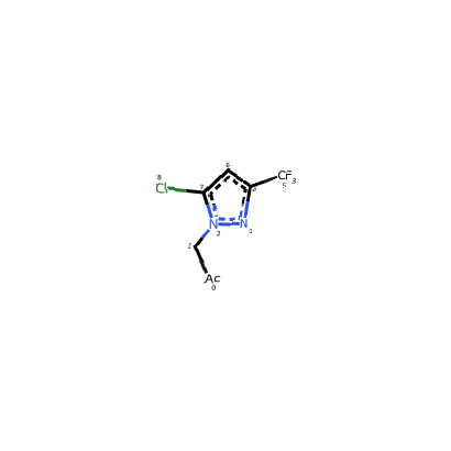 CC(=O)Cn1nc(C(F)(F)F)cc1Cl